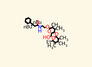 CCCCC(CCCC)(CC(=O)NCCO[C@H]1OC(CO)[C@H](O[C@@H]2OC(CC)[C@H](C)C(C)[C@H]2C)C(C)[C@H]1C)c1ccccc1